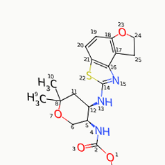 CC(C)(C)OC(=O)N[C@H]1COC(C)(C)C[C@H]1Nc1nc2c3c(ccc2s1)OCC3